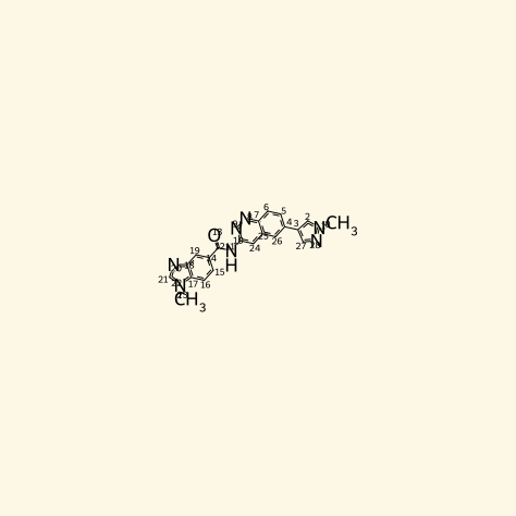 Cn1cc(-c2ccc3nnc(NC(=O)c4ccc5c(c4)ncn5C)cc3c2)cn1